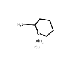 [AlH3].[Cu].[SiH3]C1CCCCO1